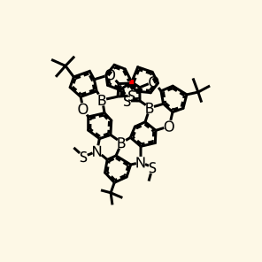 CSN1c2cc3c(cc2B2c4cc5c(cc4N(SC)c4cc(C(C)(C)C)cc1c42)Oc1cc(C(C)(C)C)cc2c1B5c1sc4ccccc4c1O2)B1c2sc4ccccc4c2Oc2cc(C(C)(C)C)cc(c21)O3